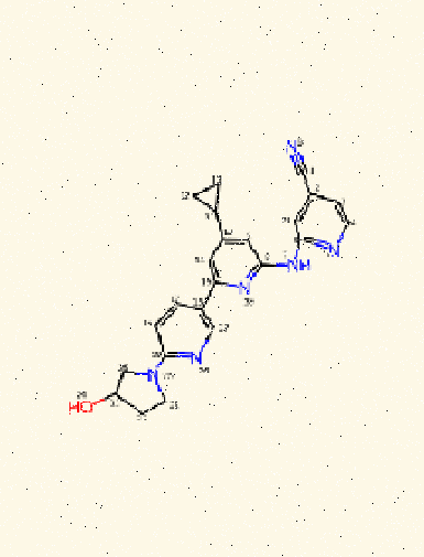 N#Cc1ccnc(Nc2cc(C3CC3)cc(-c3ccc(N4CCC(O)C4)nc3)n2)c1